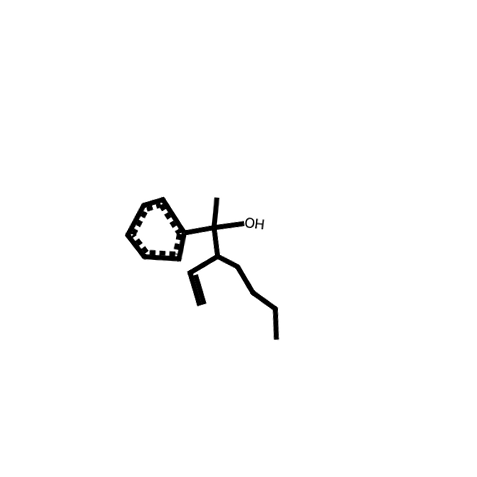 C=CC(CCCC)C(C)(O)c1ccccc1